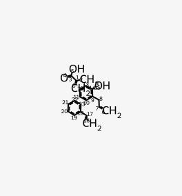 C=C(C)C(=O)O.C=CCc1ccccc1O.C=Cc1ccccc1